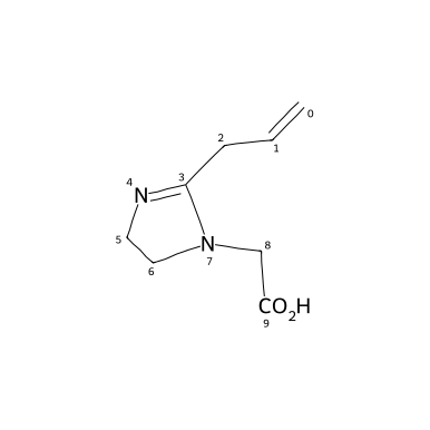 C=CCC1=NCCN1CC(=O)O